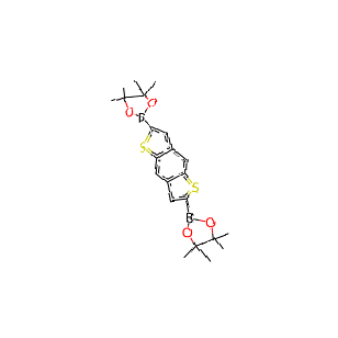 CC1(C)OB(c2cc3cc4sc(B5OC(C)(C)C(C)(C)O5)cc4cc3s2)OC1(C)C